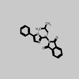 CC(C)C[C@@H](c1ncc(-c2ccccc2)o1)N1C(=O)c2ccccc2C1=O